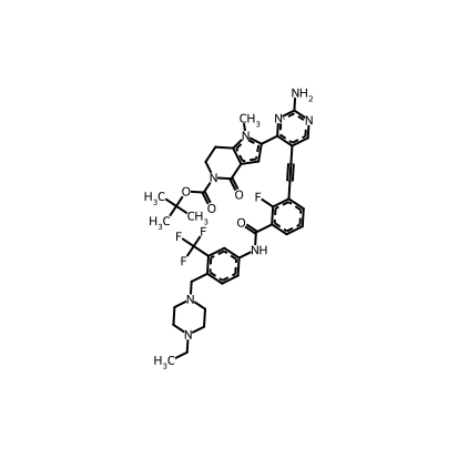 CCN1CCN(Cc2ccc(NC(=O)c3cccc(C#Cc4cnc(N)nc4-c4cc5c(n4C)CCN(C(=O)OC(C)(C)C)C5=O)c3F)cc2C(F)(F)F)CC1